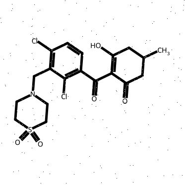 CC1CC(=O)C(C(=O)c2ccc(Cl)c(CN3CCS(=O)(=O)CC3)c2Cl)=C(O)C1